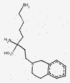 BCCCCC(N)(CCN1CCc2ccccc2C1)C(=O)O